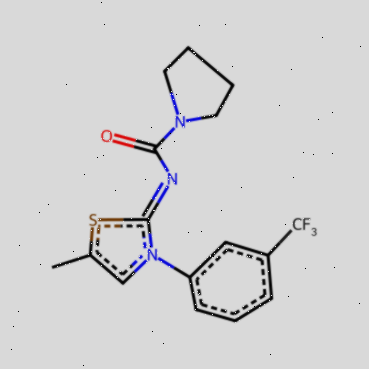 Cc1cn(-c2cccc(C(F)(F)F)c2)c(=NC(=O)N2CCCC2)s1